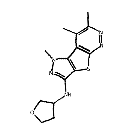 Cc1nnc2sc3c(NC4CCOC4)nn(C)c3c2c1C